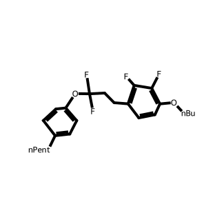 CCCCCc1ccc(OC(F)(F)CCc2ccc(OCCCC)c(F)c2F)cc1